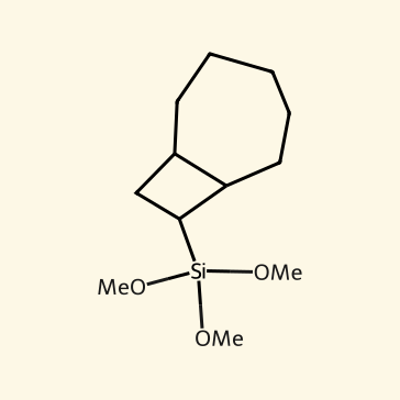 CO[Si](OC)(OC)C1CC2CCCCCC21